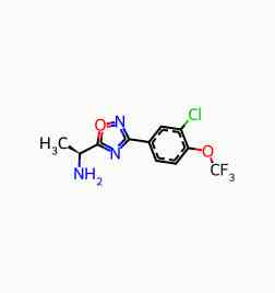 C[C@H](N)c1nc(-c2ccc(OC(F)(F)F)c(Cl)c2)no1